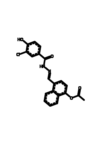 CC(=O)Oc1ccc(C=NNC(=O)c2ccc(O)c(Cl)c2)c2ccccc12